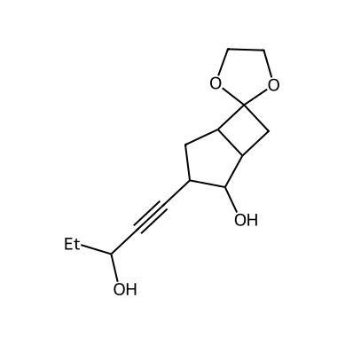 CCC(O)C#CC1CC2C(CC23OCCO3)C1O